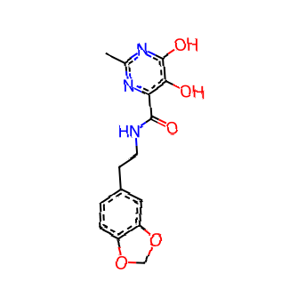 Cc1nc(O)c(O)c(C(=O)NCCc2ccc3c(c2)OCO3)n1